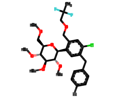 CCCCOC[C@H]1O[C@@H](c2cc(Cc3ccc(CC)cc3)c(Cl)cc2COCC(C)(F)F)[C@H](OCCCC)[C@@H](OCCCC)[C@@H]1OCCCC